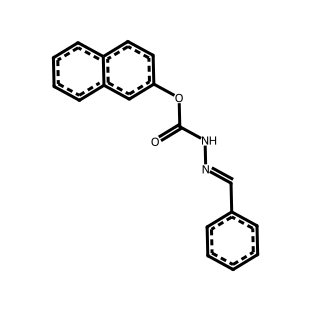 O=C(NN=Cc1ccccc1)Oc1ccc2ccccc2c1